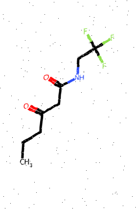 CCCC(=O)CC(=O)NCC(F)(F)F